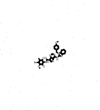 COc1ccc(Cn2c(Nc3ncnc4c(C(=O)Nc5c(Cl)c(C)c(Br)c(OC)c5Cl)csc34)nc3ccccc32)cc1